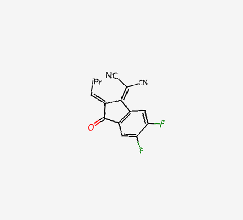 CC(C)/C=C1/C(=O)c2cc(F)c(F)cc2C1=C(C#N)C#N